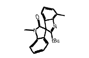 Cc1cccc2c1N=C(C(C)(C)C)C21C(=O)N(C)c2ccccc21